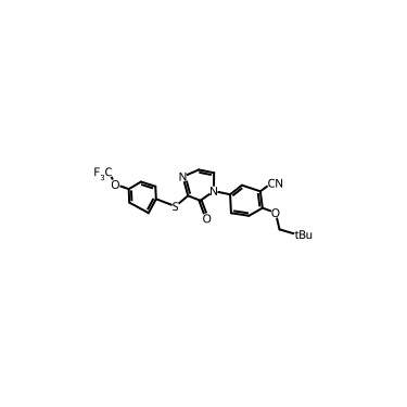 CC(C)(C)COc1ccc(-n2ccnc(Sc3ccc(OC(F)(F)F)cc3)c2=O)cc1C#N